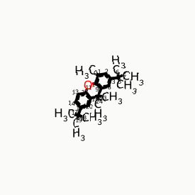 Cc1cc(C(C)(C)C)cc2c1Oc1ccc(C(C)(C)C)cc1C2(C)C